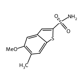 COc1cc2cc(S(N)(=O)=O)sc2cc1C